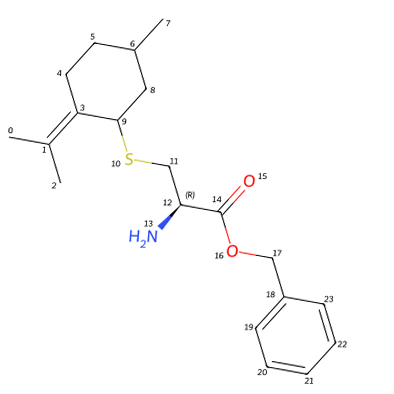 CC(C)=C1CCC(C)CC1SC[C@H](N)C(=O)OCc1ccccc1